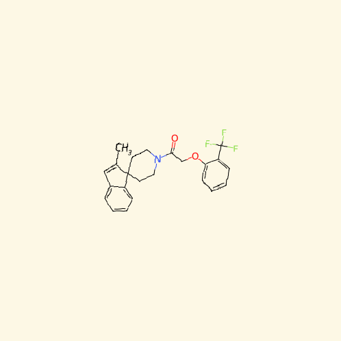 CC1=Cc2ccccc2C12CCN(C(=O)COc1ccccc1C(F)(F)F)CC2